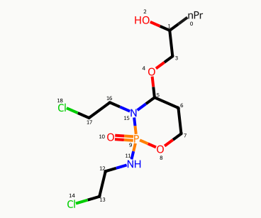 CCCC(O)COC1CCOP(=O)(NCCCl)N1CCCl